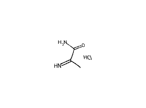 CC(=N)C(N)=O.Cl